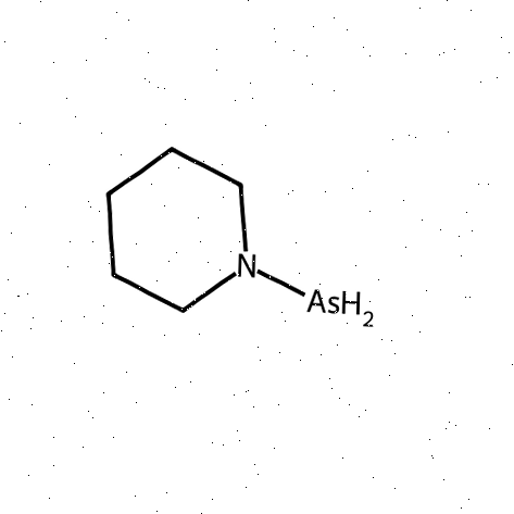 [AsH2]N1CCCCC1